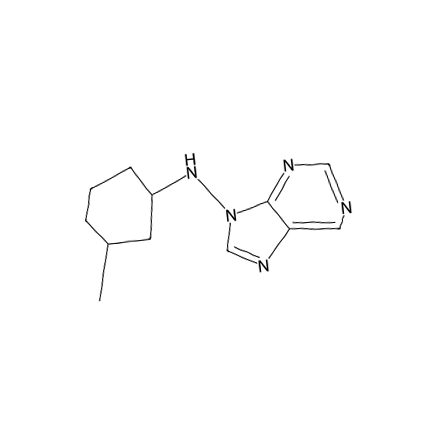 CC1CCCC(Nn2cnc3cncnc32)C1